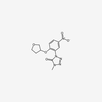 Cn1nnn(-c2cc([N+](=O)[O-])ccc2OC2CCOC2)c1=O